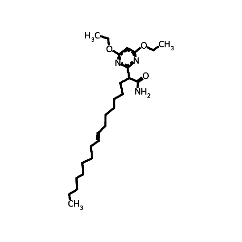 CCCCCCCCC=CCCCCCCC(C(N)=O)c1nc(OCC)cc(OCC)n1